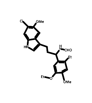 CCOc1cc(C(CCc2c[nH]c3cc(Cl)c(OC)cc23)NC=O)c(CC)cc1OC